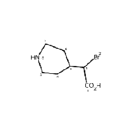 O=C(O)C(Br)C1CCNCC1